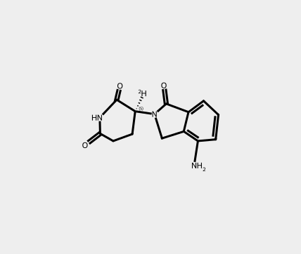 [2H][C@]1(N2Cc3c(N)cccc3C2=O)CCC(=O)NC1=O